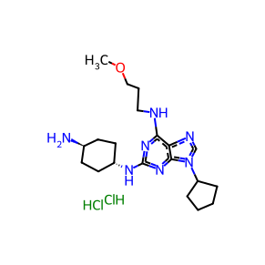 COCCCNc1nc(N[C@H]2CC[C@H](N)CC2)nc2c1ncn2C1CCCC1.Cl.Cl